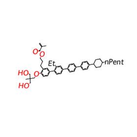 C=C(C)C(=O)OCCCc1cc(-c2ccc(-c3ccc(-c4ccc(C5CCC(CCCCC)CC5)cc4)cc3)cc2CC)ccc1OCC(C)(CO)CO